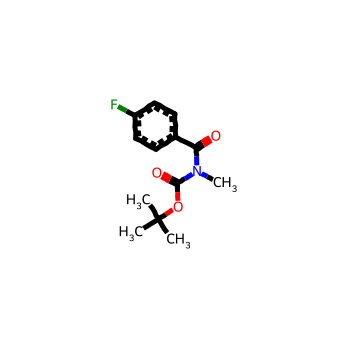 CN(C(=O)OC(C)(C)C)C(=O)c1ccc(F)cc1